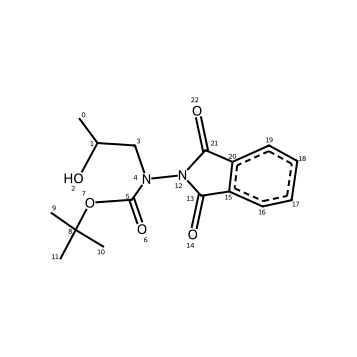 CC(O)CN(C(=O)OC(C)(C)C)N1C(=O)c2ccccc2C1=O